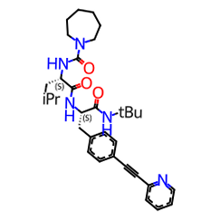 CC(C)C[C@H](NC(=O)N1CCCCCC1)C(=O)N[C@@H](Cc1ccc(C#Cc2ccccn2)cc1)C(=O)NC(C)(C)C